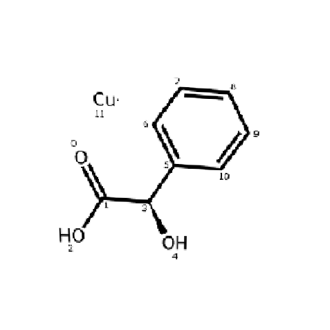 O=C(O)[C@H](O)c1ccccc1.[Cu]